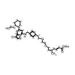 CCc1cnn2c(NCc3ccc(CCOCCOCCN(C)C/C=C/C(=O)OC)nc3)cc(N3CCCC[C@H]3CCO)nc12